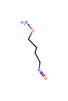 NOCCCCN=O